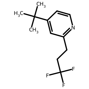 CC(C)(C)c1ccnc(CCC(F)(F)F)c1